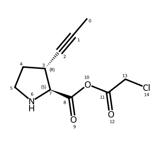 CC#C[C@H]1CCN[C@@H]1C(=O)OC(=O)CCl